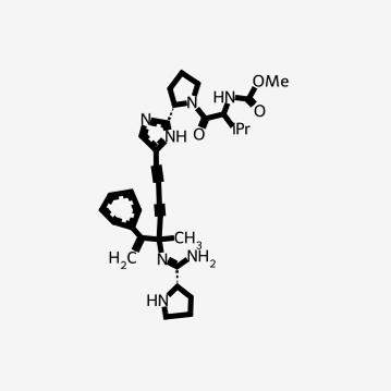 C=C(c1ccccc1)C(C)(C#CC#Cc1cnc([C@@H]2CCCN2C(=O)C(NC(=O)OC)C(C)C)[nH]1)/N=C(\N)[C@@H]1CCCN1